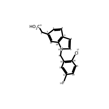 O=C(O)Cc1ccc2ccn(Cc3cc(F)ccc3Cl)c2c1